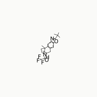 CC(C)(C)c1nc2cc3c(cc2o1)C[C@H]1N(C(=O)C(F)(F)F)CCC3(C)C1(C)C